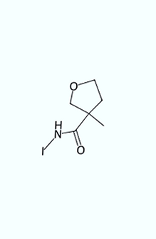 CC1(C(=O)NI)CCOC1